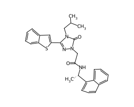 CC(C)Cn1c(-c2cc3ccccc3s2)nn(CC(=O)N[C@@H](C)c2cccc3ccccc23)c1=O